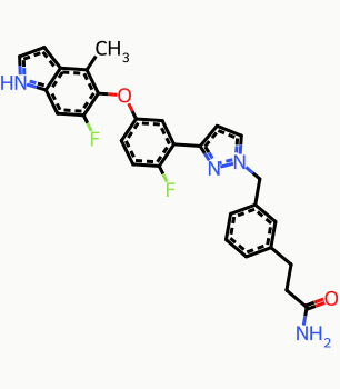 Cc1c(Oc2ccc(F)c(-c3ccn(Cc4cccc(CCC(N)=O)c4)n3)c2)c(F)cc2[nH]ccc12